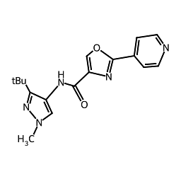 Cn1cc(NC(=O)c2coc(-c3ccncc3)n2)c(C(C)(C)C)n1